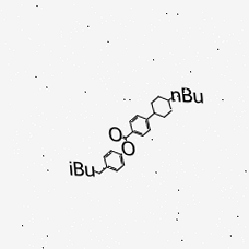 CCCCC1CCC(c2ccc(C(=O)Oc3ccc(CC(C)CC)cc3)cc2)CC1